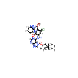 C[Si](C)(C)CCOn1cnc2ncnc(Nc3cc(Cl)c4n(c3=O)C3(CCCCC3)NC4=O)c21